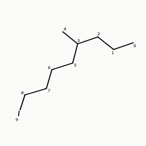 CCCC(C)CCCCI